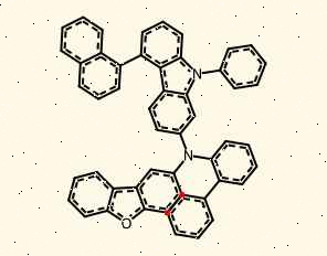 c1ccc(-c2ccccc2N(c2ccc3oc4ccccc4c3c2)c2ccc3c4c(-c5cccc6ccccc56)cccc4n(-c4ccccc4)c3c2)cc1